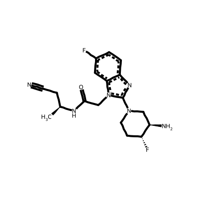 C[C@@H](CC#N)NC(=O)Cn1c(N2CC[C@@H](F)[C@H](N)C2)nc2ccc(F)cc21